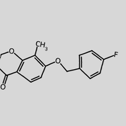 Cc1c(OCc2ccc(F)cc2)ccc2c1OCCC2=O